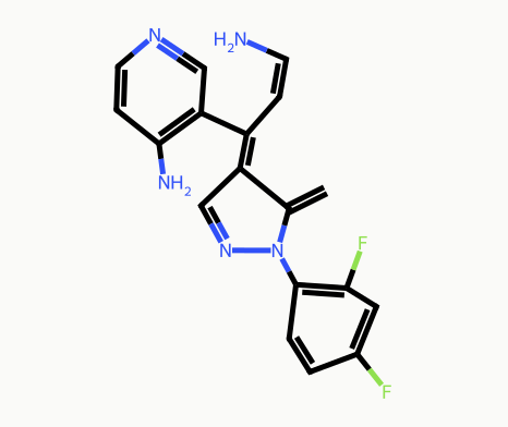 C=c1/c(=C(\C=C/N)c2cnccc2N)cnn1-c1ccc(F)cc1F